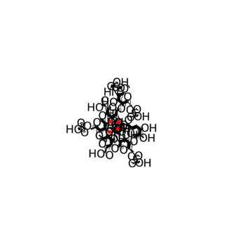 COC1O[C@H](COS(=O)(=O)O)[C@@H](O[C@@H]2O[C@@H](C(=O)O)[C@@H](O[C@H]3O[C@H](COS(=O)(=O)O)[C@@H](O[C@@H]4O[C@H](C(=O)O)C(O[C@H]5O[C@H](COS(=O)(=O)O)[C@@H](O[C@@H]6OC(C(=O)O)=C[C@H](O)[C@H]6O)[C@H](O)C5NC(C)=O)[C@H](O)[C@H]4O)[C@H](O)[C@H]3NS(=O)(=O)O)[C@H](O)[C@H]2CS(=O)(=O)O)[C@H](O)[C@H]1NS(=O)(=O)O